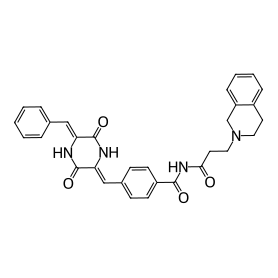 O=C(CCN1CCc2ccccc2C1)NC(=O)c1ccc(C=c2[nH]c(=O)c(=Cc3ccccc3)[nH]c2=O)cc1